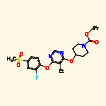 CCc1c(Oc2ccc(S(C)(=O)=O)cc2F)ncnc1OC1CCN(C(=O)OC(C)C)CC1